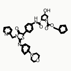 O=C(Nc1ccc(C2S/C(=N\c3ccc(N4CCOCC4)cc3)N(Cc3ccccn3)C2=O)cc1)[C@@H]1C[C@@H](O)CN1C(=O)OCc1ccccc1